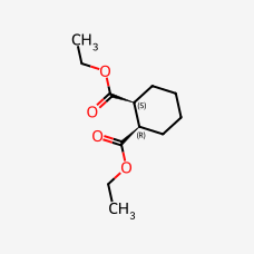 CCOC(=O)[C@H]1CCCC[C@H]1C(=O)OCC